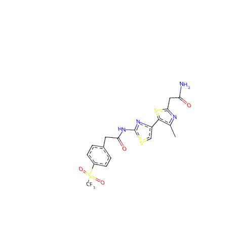 Cc1nc(CC(N)=O)sc1-c1csc(NC(=O)Cc2ccc(S(=O)(=O)C(F)(F)F)cc2)n1